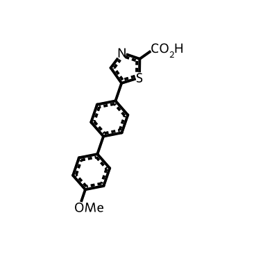 COc1ccc(-c2ccc(-c3cnc(C(=O)O)s3)cc2)cc1